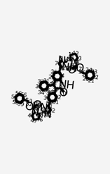 O=C1Nc2cc(-c3cnc([C@@H]4CCCN4C(=O)OCc4ccccc4)[nH]3)ccc2C(c2ccccc2)C1c1ccc(-c2cnc([C@@H]3CCCN3C(=O)OCc3ccccc3)[nH]2)cc1